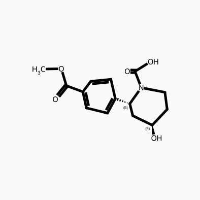 COC(=O)c1ccc([C@H]2C[C@H](O)CCN2C(=O)O)cc1